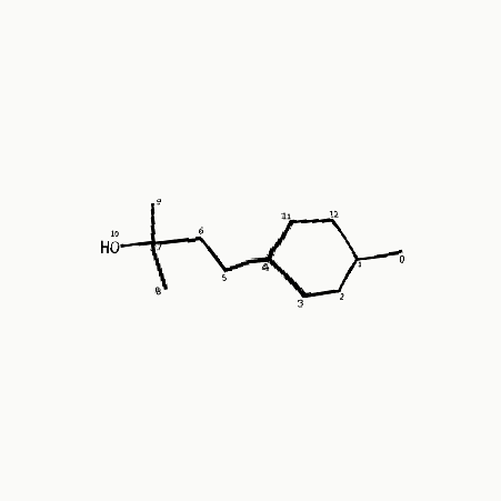 CC1CCC(CCC(C)(C)O)CC1